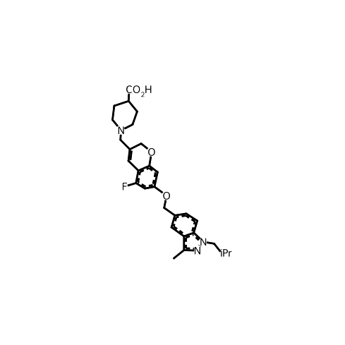 Cc1nn(CC(C)C)c2ccc(COc3cc(F)c4c(c3)OCC(CN3CCC(C(=O)O)CC3)=C4)cc12